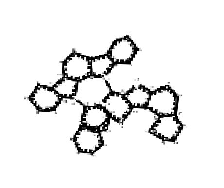 c1ccc(-c2nc(-n3c4ccccc4c4ccc5c6ccccc6n(-c6ccccc6)c5c43)c3oc4ccc5ccccc5c4c3n2)cc1